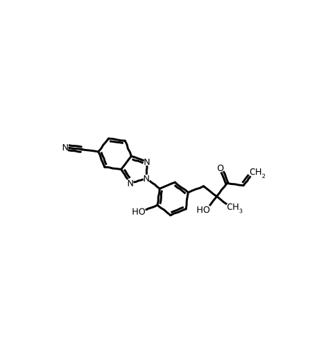 C=CC(=O)C(C)(O)Cc1ccc(O)c(-n2nc3ccc(C#N)cc3n2)c1